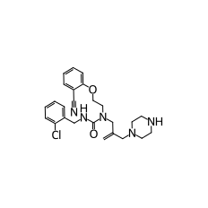 C=C(CN1CCNCC1)CN(CCOc1ccccc1C#N)C(=O)NCc1ccccc1Cl